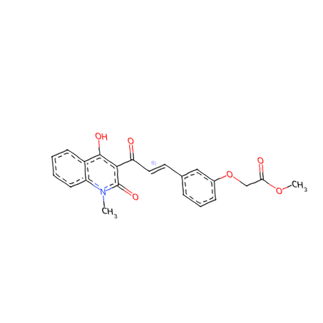 COC(=O)COc1cccc(/C=C/C(=O)c2c(O)c3ccccc3n(C)c2=O)c1